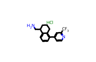 Cl.NCC1CCCc2c(-c3ccnc(C(F)(F)F)c3)cccc21